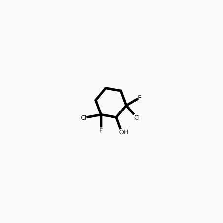 OC1C(F)(Cl)CCCC1(F)Cl